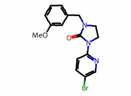 COc1cccc(CN2CCN(c3ccc(Br)cn3)C2=O)c1